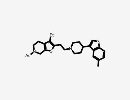 CCc1c(CCN2CCC(c3csc4ccc(C)cc34)CC2)sc2c1CCN(C(C)=O)C2